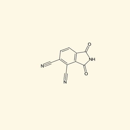 N#Cc1ccc2c(c1C#N)C(=O)NC2=O